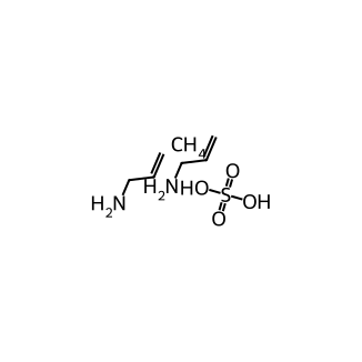 C.C=CCN.C=CCN.O=S(=O)(O)O